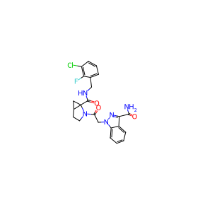 NC(=O)c1nn(CC(=O)N2CCC3CC32C(=O)NCc2cccc(Cl)c2F)c2ccccc12